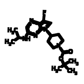 CC(C)Nc1cnc2c(F)cn(C3CCN(C(=O)OC(C)(C)C)CC3)c2n1